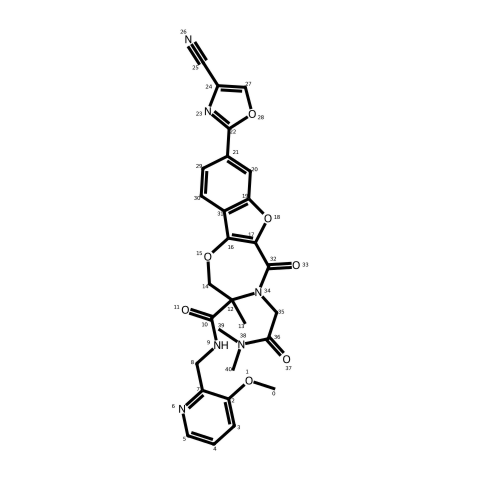 COc1cccnc1CNC(=O)C1(C)COc2c(oc3cc(-c4nc(C#N)co4)ccc23)C(=O)N1CC(=O)N(C)C